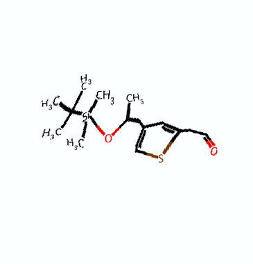 CC(O[Si](C)(C)C(C)(C)C)c1csc(C=O)c1